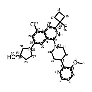 COc1cccnc1C1CCN(c2nc(C3(F)CCC3)nc3c(Cl)cc(N4CC[C@@H](O)C4)cc23)CC1